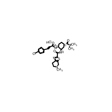 CN1CCc2nc(C(=O)N[C@@H]3C[C@@H](C(=O)N(C)C)CC[C@@H]3NC(=O)C#Cc3ccc(Cl)cc3)sc2C1.Cl